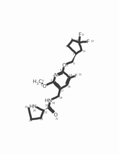 COc1nc(OC[C@H]2CCC(F)(F)C2)c(F)cc1CNC(=O)[C@@H]1CCCN1